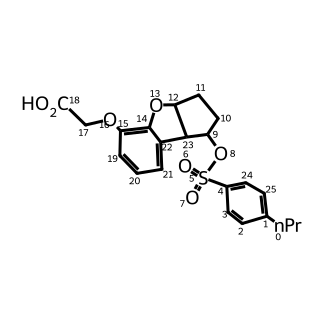 CCCc1ccc(S(=O)(=O)OC2CCC3Oc4c(OCC(=O)O)cccc4C32)cc1